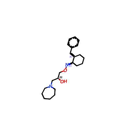 O[C@H](CO/N=C1\CCCC\C1=C/c1ccccc1)CN1CCCCCC1